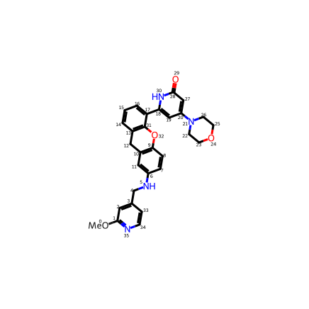 COc1cc(CNc2ccc3c(c2)Cc2cccc(-c4cc(N5CCOCC5)cc(=O)[nH]4)c2O3)ccn1